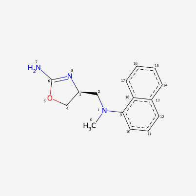 CN(C[C@H]1COC(N)=N1)c1cccc2ccccc12